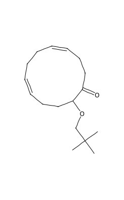 CC(C)(C)COC1CC/C=C\CC/C=C\CCC1=O